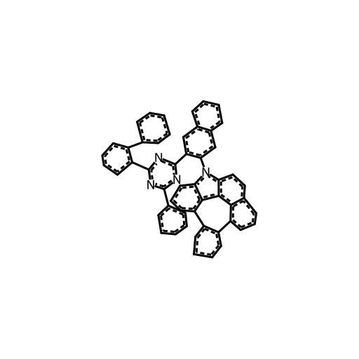 c1ccc(-c2nc(-c3ccccc3-c3ccccc3)nc(-c3cc4ccccc4cc3-n3c4cccc5c4c4c6c(cccc6ccc43)-c3ccccc3-5)n2)cc1